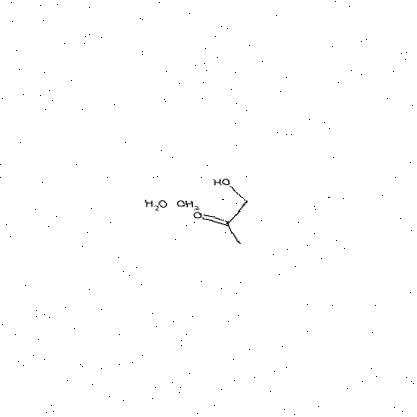 CC(=O)CO.O.O